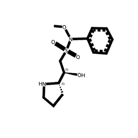 CON(c1ccccc1)S(=O)(=O)C[C@@H](O)[C@@H]1CCCN1